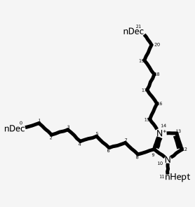 CCCCCCCCCCCCCCCCCCc1n(CCCCCCC)cc[n+]1CCCCCCCCCCCCCCCC